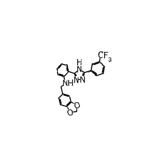 FC(F)(F)c1cccc(-c2nnc(-c3ccccc3NCc3ccc4c(c3)OCO4)[nH]2)c1